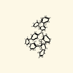 c1ccc(-c2ccc(N(c3ccc4c5ccccc5c5ccccc5c4c3)c3cccc4c3oc3c(-c5ccccc5)c5ccccc5cc34)cc2)cc1